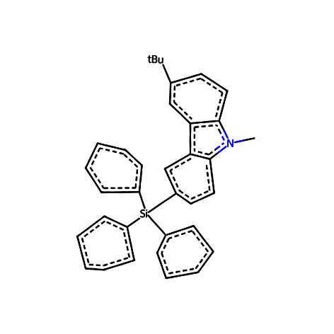 Cn1c2ccc(C(C)(C)C)cc2c2cc([Si](c3ccccc3)(c3ccccc3)c3ccccc3)ccc21